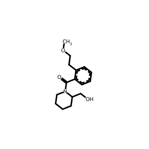 COCCc1ccccc1C(=O)N1CCCCC1CO